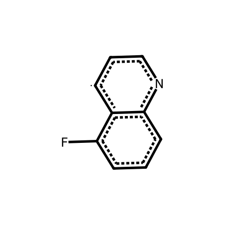 Fc1cccc2ncc[c]c12